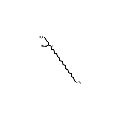 CCCCCCCCCCCCCCCCCCNC(CO)CCCC